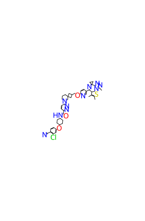 CC1=C(C)C2C(c3ccc(OCC4CC5(CCCN(c6ccc(C(=O)N[C@H]7CC[C@H](Oc8ccc(C#N)c(Cl)c8)CC7)nn6)C5)C4)nc3)=NC3(CC3)c3nnc(C)n3C2S1